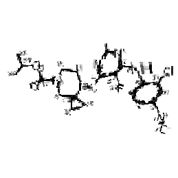 [C-]#[N+]c1ccc(Nc2ncnc(ON3CCN(C(=O)OC(C)C)CC34CC4)c2F)c(Cl)c1